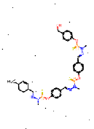 COC1C=CC(CNN(C)[PH](=S)Oc2ccc(/C=N/N(C)[PH](=S)Oc3ccc(/C=N/N(C)[PH](=S)Oc4ccc(CO)cc4)cc3)cc2)CC1